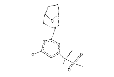 CC(C)(c1cc(Cl)nc(N2CC3CCC(C2)O3)c1)S(C)(=O)=O